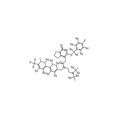 [2H]C1=C(CN(CCN(C([2H])([2H])C)C([2H])([2H])C)C(=O)Cn2c(SC([2H])([2H])c3c([2H])c([2H])c(F)c([2H])c3[2H])nc(=O)c3c2CCC3)C([2H])C([2H])C(C2=C([2H])C([2H])=C(C(F)(F)F)C(C)C2[2H])=C1[2H]